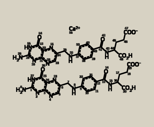 Nc1nc2ncc(CNc3ccc(C(=O)NC(CCC(=O)[O-])C(=O)O)cc3)nc2c(=O)[nH]1.Nc1nc2ncc(CNc3ccc(C(=O)NC(CCC(=O)[O-])C(=O)O)cc3)nc2c(=O)[nH]1.[Ca+2]